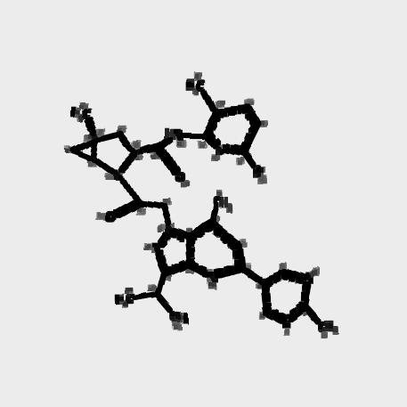 Cc1ncc(-c2cc(C)c3c(n2)c(C(C)O)nn3CC(=O)N2C3C[C@]3(C)C[C@H]2C(=O)Nc2nc(Br)ccc2C)cn1